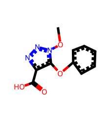 COn1nnc(C(=O)O)c1Oc1ccccc1